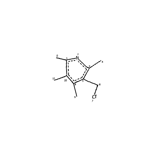 Cc1nc(C)c(CCl)c(C)c1C